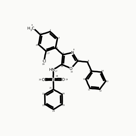 Cc1ccc(-c2nc(Cc3ccccc3)oc2NS(=O)(=O)c2ccccc2)c(Cl)c1